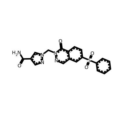 NC(=O)c1cnn(Cn2ncc3cc(S(=O)(=O)c4ccccc4)ccc3c2=O)c1